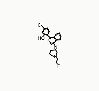 Oc1cc(Cl)ccc1-c1nnc(N[C@@H]2CCCN(CCF)C2)c2ccccc12